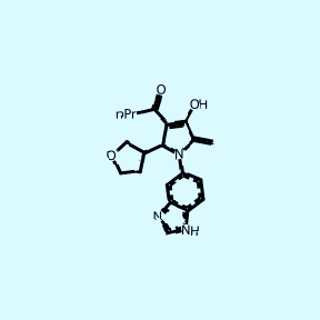 C=C1C(O)=C(C(=O)CCC)C(C2CCOC2)N1c1ccc2[nH]cnc2c1